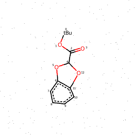 CC(C)(C)OC(=O)C1Oc2ccccc2O1